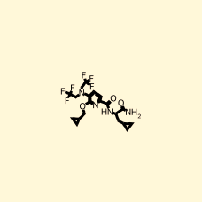 NC(=O)C(CC1CC1)NC(=O)c1ccc(N(CC(F)(F)F)CC(F)(F)F)c(OCC2CC2)n1